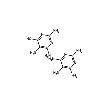 Nc1nc(N)c(N)c(N)n1.Nc1nc(N)c(N)c(O)n1